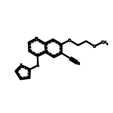 COCCOc1cc2nccc(Sc3cccs3)c2cc1C#N